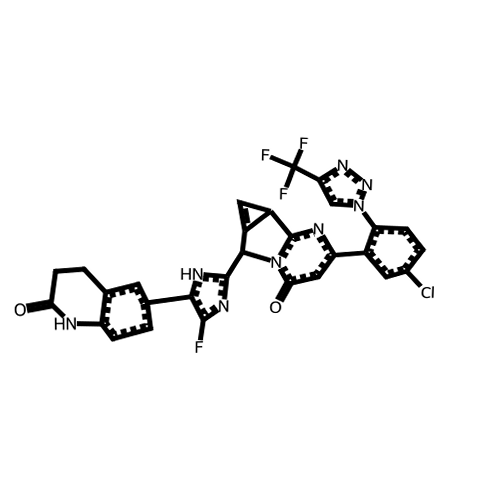 O=C1CCc2cc(-c3[nH]c(C4C5=CC5c5nc(-c6cc(Cl)ccc6-n6cc(C(F)(F)F)nn6)cc(=O)n54)nc3F)ccc2N1